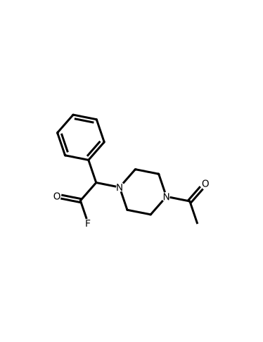 CC(=O)N1CCN(C(C(=O)F)c2ccccc2)CC1